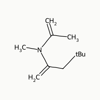 C=C(C)N(C)C(=C)CC(C)(C)C